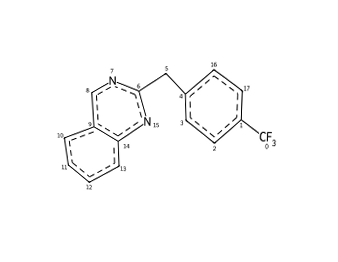 FC(F)(F)c1ccc(Cc2ncc3ccccc3n2)cc1